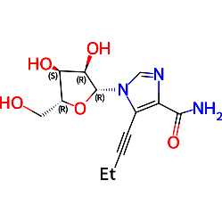 CCC#Cc1c(C(N)=O)ncn1[C@@H]1O[C@H](CO)[C@@H](O)[C@H]1O